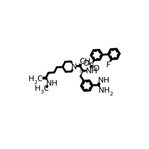 C=C(CCCC1CCN(C(=C)[C@H](Cc2cccc(C(=N)N)c2)NS(=O)(=O)c2cccc(-c3ccccc3F)c2)CC1)NC